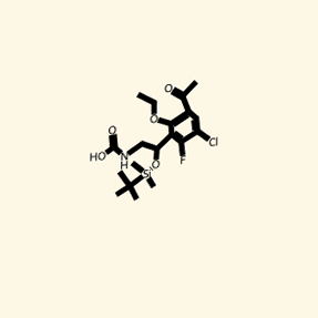 CCOc1c(C(C)=O)cc(Cl)c(F)c1C(CNC(=O)O)O[Si](C)(C)C(C)(C)C